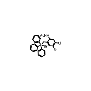 CC(=O)Nc1cc(Cl)c(Br)cc1CP(Br)(c1ccccc1)(c1ccccc1)c1ccccc1